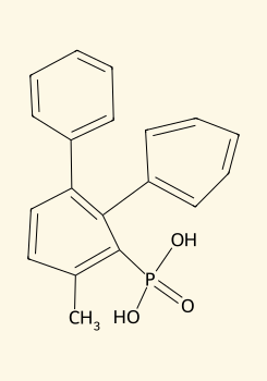 Cc1ccc(-c2ccccc2)c(-c2ccccc2)c1P(=O)(O)O